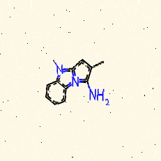 Cc1cc2n(C)c3ccccc3n2c1N